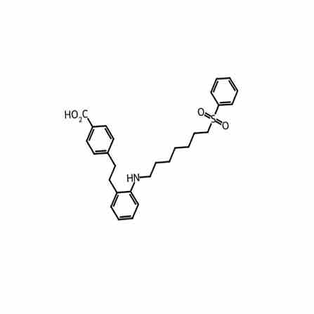 O=C(O)c1ccc(CCc2ccccc2NCCCCCCCS(=O)(=O)c2ccccc2)cc1